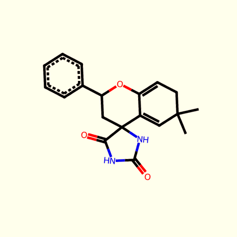 CC1(C)C=C2C(=CC1)OC(c1ccccc1)CC21NC(=O)NC1=O